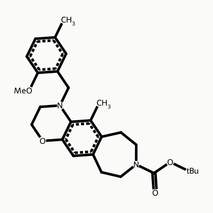 COc1ccc(C)cc1CN1CCOc2cc3c(c(C)c21)CCN(C(=O)OC(C)(C)C)CC3